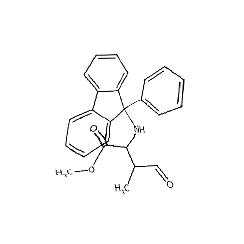 COC(=O)C(NC1(c2ccccc2)c2ccccc2-c2ccccc21)C(C)C=O